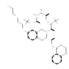 C[C@@H](C(=O)N[C@H](C(=O)N1Cc2cc(OCCOCCN)ccc2C[C@H]1C(=O)N[C@H]1CCCc2ccccc21)C(C)(C)C)N(C)C(=O)OC(C)(C)C